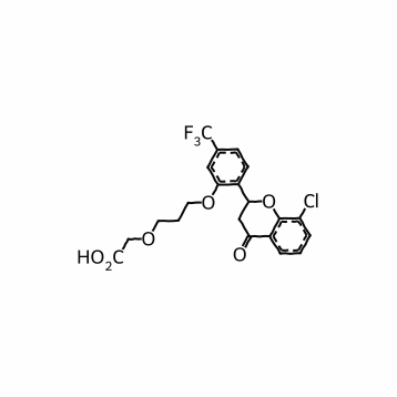 O=C(O)COCCCOc1cc(C(F)(F)F)ccc1C1CC(=O)c2cccc(Cl)c2O1